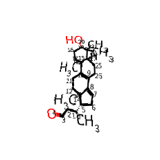 CC(CC=O)[C@H]1CC=C2C3=C(CC[C@@]21C)[C@@]1(C)CC[C@H](O)C(C)(C)[C@@H]1CC3